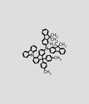 Cc1ccc(C2(c3ccc(C)cc3)c3cc(N(c4ccc5c(c4)C(C)(C)c4ccccc4-5)c4ccc5c(c4)C(C)(C)c4ccccc4-5)ccc3-c3c(-n4c5ccccc5c5ccccc54)cccc32)cc1